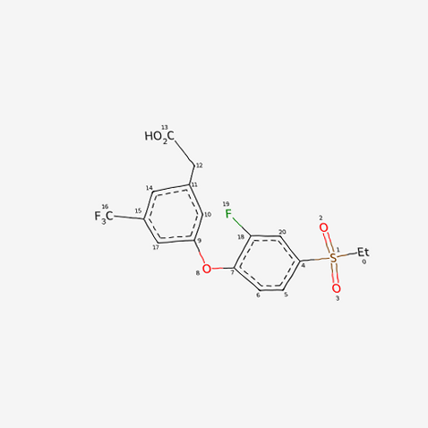 CCS(=O)(=O)c1ccc(Oc2cc(CC(=O)O)cc(C(F)(F)F)c2)c(F)c1